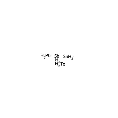 [PbH2].[SbH3].[SnH2].[TeH2]